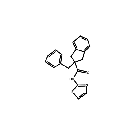 O=C(Nc1nccs1)C1(Cc2ccccc2)Cc2ccccc2C1